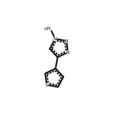 CCCn1cc(-c2ccsc2)nn1